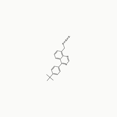 CC(C)(C)c1ccc(-c2ncnc3c(CN=[N+]=[N-])cccc23)cc1